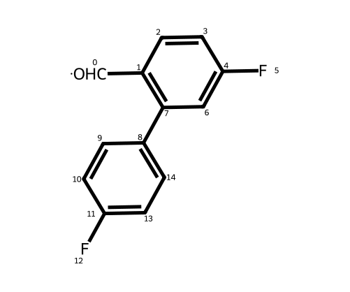 O=[C]c1ccc(F)cc1-c1ccc(F)cc1